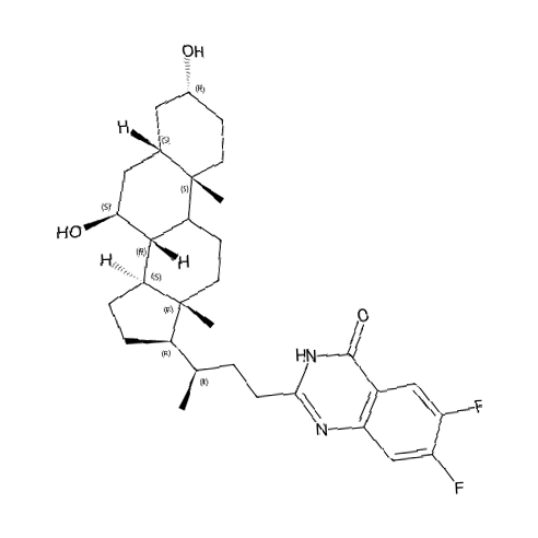 C[C@H](CCc1nc2cc(F)c(F)cc2c(=O)[nH]1)[C@H]1CC[C@H]2[C@H]3C(CC[C@]12C)[C@@]1(C)CC[C@@H](O)C[C@H]1C[C@@H]3O